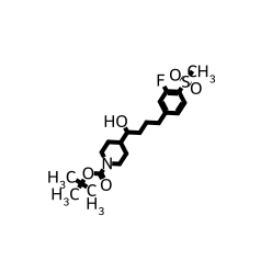 CC(C)(C)OC(=O)N1CCC(C(O)CCCc2ccc(S(C)(=O)=O)c(F)c2)CC1